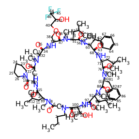 CCCCN1CC(=O)N(C)[C@@H](CC(C)C)C(=O)N[C@H](C(=O)N2CCCCC2)CC(=O)N(C)[C@@H](C)C(=O)N[C@@H](COCC(O)C(F)(F)F)C(=O)N(C)[C@@H](CC(C)C)C(=O)N(C)[C@@H](Cc2ccccc2)C(=O)N[C@@H](CC(C)C)C(=O)N(C)[C@@H](Cc2ccccc2)C(=O)N(C)C([C@@H](C)CC)C(=O)N[C@@H]([C@@H](C)O)C1=O